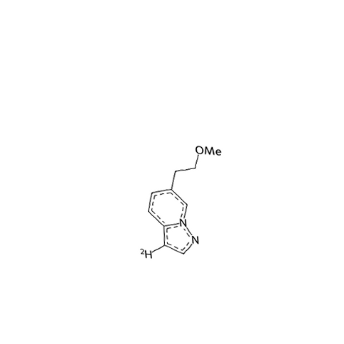 [2H]c1cnn2cc(CCOC)ccc12